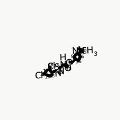 Cn1cnc2cc(COC(=O)Nc3nnc(C4=C(Cl)CC(Cl)C=C4)s3)ccc21